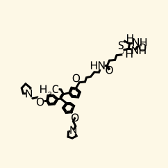 CCC(=C(c1ccc(OCCN2CCCC2)cc1)c1ccc(OCCN2CCCC2)cc1)c1cccc(C(=O)CCCCCNC(=O)CCCC[C@@H]2SC[C@@H]3NC(=O)N[C@@H]32)c1